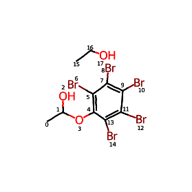 CC(O)Oc1c(Br)c(Br)c(Br)c(Br)c1Br.CCO